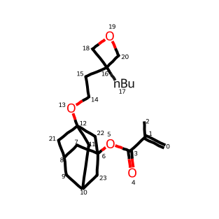 C=C(C)C(=O)OC12CC3CC(CC(OCCC4(CCCC)COC4)(C3)C1)C2